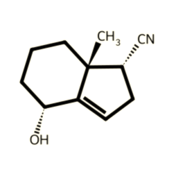 C[C@]12CCC[C@@H](O)C1=CC[C@H]2C#N